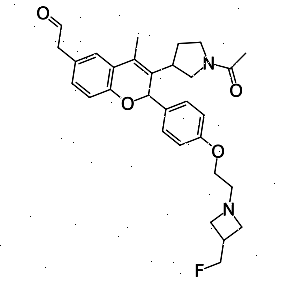 CC(=O)N1CCC(C2=C(C)c3cc(CC=O)ccc3OC2c2ccc(OCCN3CC(CF)C3)cc2)C1